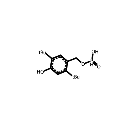 CC(C)(C)c1cc(CO[PH](=O)O)c(C(C)(C)C)cc1O